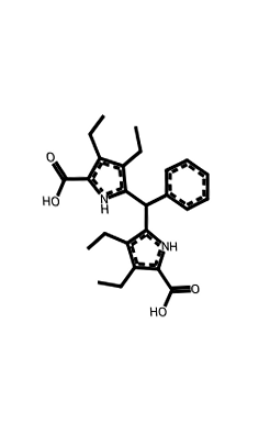 CCc1c(C(=O)O)[nH]c(C(c2ccccc2)c2[nH]c(C(=O)O)c(CC)c2CC)c1CC